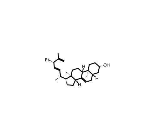 C=C(C)[C@H](/C=C/[C@@H](C)[C@H]1CC[C@H]2C3=CC[C@H]4C[C@@H](O)CC[C@]4(C)[C@H]3CC[C@]12C)CC